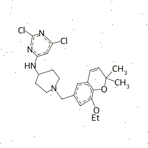 CCOc1cc(CN2CCC(Nc3cc(Cl)nc(Cl)n3)CC2)cc2c1OC(C)(C)C=C2